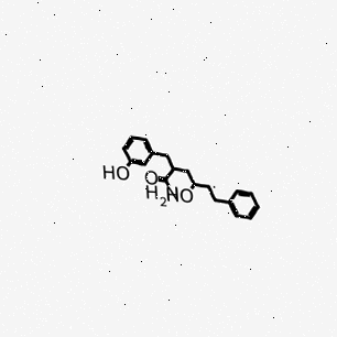 NC(=O)C(Cc1cccc(O)c1)CC(O)[CH]Cc1ccccc1